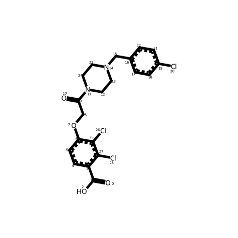 O=C(O)c1ccc(OCC(=O)N2CCN(Cc3ccc(Cl)cc3)CC2)c(Cl)c1Cl